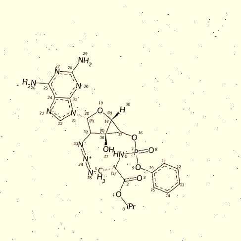 CC(C)OC(=O)[C@H](C)NP(=O)(Oc1ccccc1)OC1[C@H]2O[C@@H](n3cnc4c(N)nc(N)nc43)C(N=[N+]=[N-])[C@@]12O